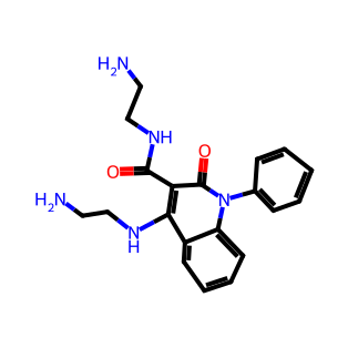 NCCNC(=O)c1c(NCCN)c2ccccc2n(-c2ccccc2)c1=O